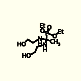 CCOP(=O)(OCC)C(C)(NCCO)NCCO